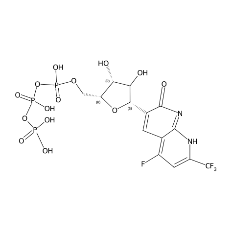 O=c1nc2[nH]c(C(F)(F)F)cc(F)c-2cc1[C@@H]1O[C@H](COP(=O)(O)OP(=O)(O)OP(=O)(O)O)[C@H](O)C1O